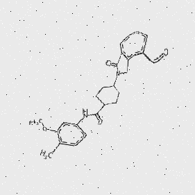 COc1cc(NC(=O)C2CCC(N3Cc4c(C=O)cccc4C3=O)CC2)ccc1C